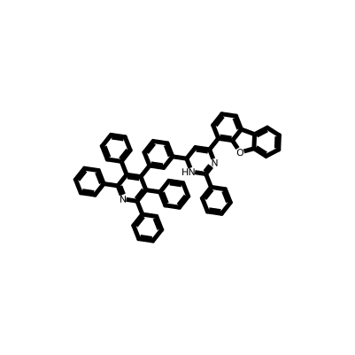 C1=C(c2cccc3c2oc2ccccc23)N=C(c2ccccc2)NC1c1cccc(-c2c(-c3ccccc3)c(-c3ccccc3)nc(-c3ccccc3)c2-c2ccccc2)c1